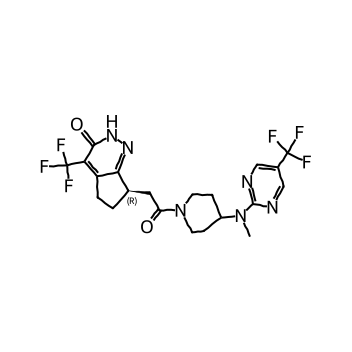 CN(c1ncc(C(F)(F)F)cn1)C1CCN(C(=O)C[C@H]2CCc3c2n[nH]c(=O)c3C(F)(F)F)CC1